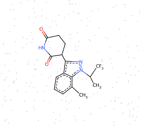 Cc1cccc2c(C3CCC(=O)NC3=O)nn(C(C)C(F)(F)F)c12